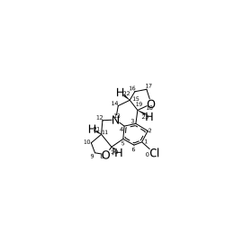 Clc1cc2c3c(c1)[C@@H]1OCC[C@@H]1CN3C[C@@H]1CCO[C@H]21